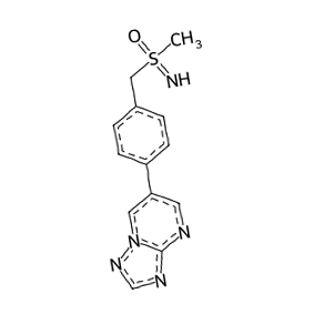 CS(=N)(=O)Cc1ccc(-c2cnc3ncnn3c2)cc1